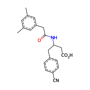 Cc1cc(C)cc(CC(=O)NC(CC(=O)O)Cc2ccc(C#N)cc2)c1